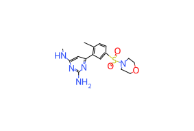 CNc1cc(-c2cc(S(=O)(=O)N3CCOCC3)ccc2C)nc(N)n1